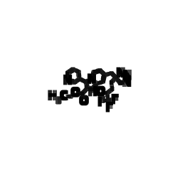 CCOC(=O)c1cc2cc(CC3(CCC(O)C(F)(F)F)C=NN=N3)ccn2c1-c1cccnc1